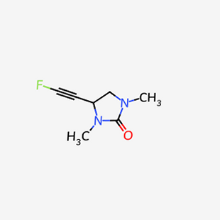 CN1CC(C#CF)N(C)C1=O